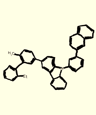 CCc1ccccc1-c1cc(-c2ccc3c(c2)c2ccccc2n3-c2cccc(-c3ccc4ccccc4c3)c2)ccc1C